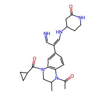 CC(=O)N1c2ccc(/C(C=N)=C/NC3CCNC(=O)C3)cc2N(C(=O)C2CC2)CC1C